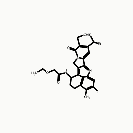 CCC(C=O)c1cc2n(c(=O)c1COC)Cc1c-2nc2cc(F)c(C)c3c2c1C(NC(=O)COCN)CC3